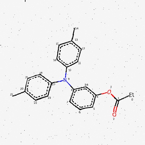 CCC(=O)Oc1cccc(N(c2ccc(C)cc2)c2ccc(C)cc2)c1